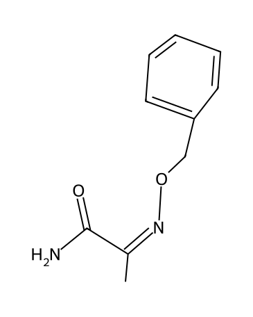 CC(=NOCc1ccccc1)C(N)=O